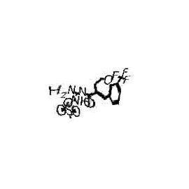 CS(=O)(=O)ONC(N)=NC(=O)C1=Cc2cccc(C(F)(F)F)c2OCC1